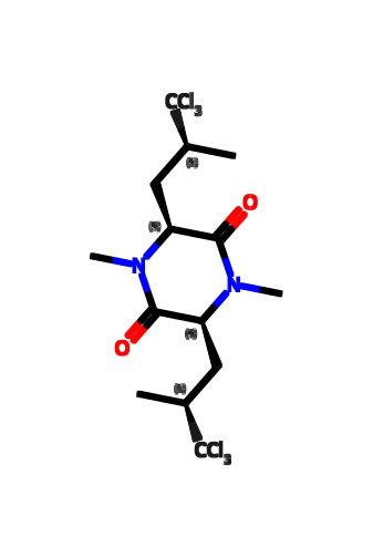 C[C@@H](C[C@H]1C(=O)N(C)[C@@H](C[C@H](C)C(Cl)(Cl)Cl)C(=O)N1C)C(Cl)(Cl)Cl